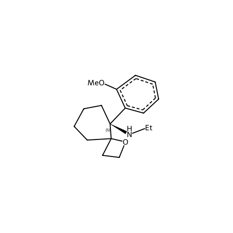 CCN[C@]1(c2ccccc2OC)CCCCC12CCO2